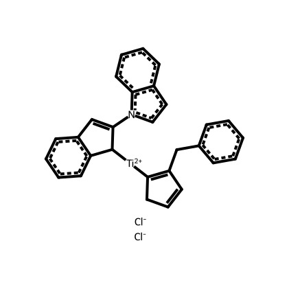 C1=CC(Cc2ccccc2)=[C]([Ti+2][CH]2C(n3ccc4ccccc43)=Cc3ccccc32)C1.[Cl-].[Cl-]